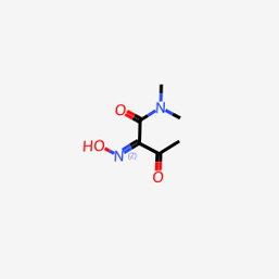 CC(=O)/C(=N/O)C(=O)N(C)C